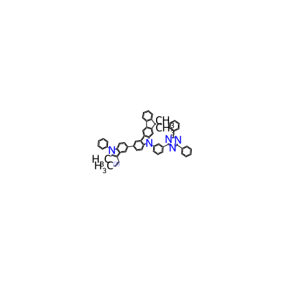 C/C=C\c1c(C)n(-c2ccccc2)c2ccc(-c3ccc4c(c3)c3cc5c(cc3n4-c3cccc(-c4nc(-c6ccccc6)nc(-c6ccccc6)n4)c3)C(C)(C)c3ccccc3-5)cc12